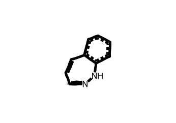 [C]1=NNc2ccccc2C=C1